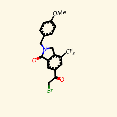 COc1ccc(CN2Cc3c(cc(C(=O)CBr)cc3C(F)(F)F)C2=O)cc1